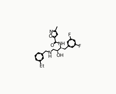 CCc1cccc(CNC[C@H](O)[C@H](Cc2cc(F)cc(F)c2)NC(=O)c2cc(C)no2)c1